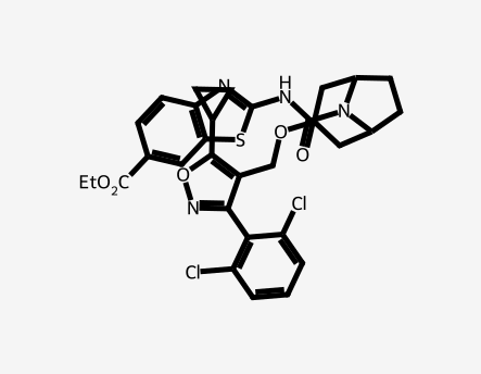 CCOC(=O)c1ccc2nc(NC(=O)N3C4CCC3CC(OCc3c(-c5c(Cl)cccc5Cl)noc3C3CC3)C4)sc2c1